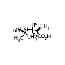 C=C(C(=O)O)C([SiH2]C(C)(C)CCC)(C(C)C)C(C)C